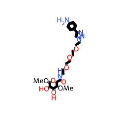 CO[C@@H]1OC(C(=O)NCCOCCOCCOCCn2cc(-c3ccc(N)cc3)nn2)[C@@H](OC)[C@H](O)[C@@H]1O